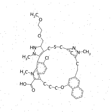 COCCOCC1NN(C)C2=C1CSCc1cc(n(C)n1)CCc1cc(c3ccccc3c1)OCCCc1c(C(=O)O)n(C)c3c2c(Cl)ccc13